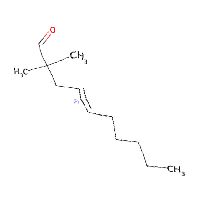 CCCCC/C=C/CC(C)(C)C=O